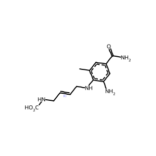 Cc1cc(C(N)=O)cc(N)c1NC/C=C/CNC(=O)O